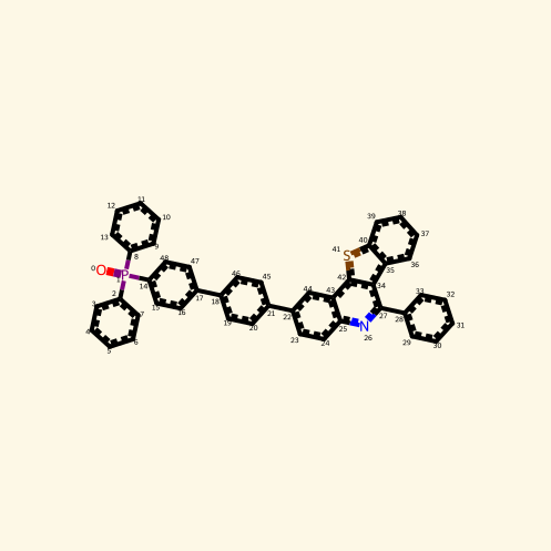 O=P(c1ccccc1)(c1ccccc1)c1ccc(-c2ccc(-c3ccc4nc(-c5ccccc5)c5c6ccccc6sc5c4c3)cc2)cc1